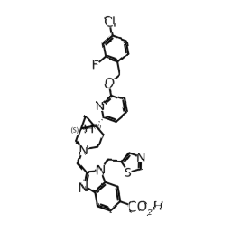 O=C(O)c1ccc2nc(CN3CC[C@]4(c5cccc(OCc6ccc(Cl)cc6F)n5)C[C@@H]4C3)n(Cc3cncs3)c2c1